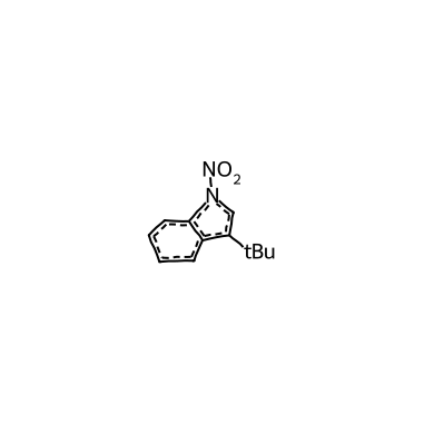 CC(C)(C)c1cn([N+](=O)[O-])c2ccccc12